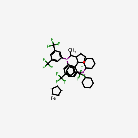 CC([C]1[CH][CH][CH][C]1c1ccccc1P(C1CCCCC1)C1CCCCC1)P(c1cc(C(F)(F)F)cc(C(F)(F)F)c1)c1cc(C(F)(F)F)cc(C(F)(F)F)c1.[CH]1[CH][CH][CH][CH]1.[Fe]